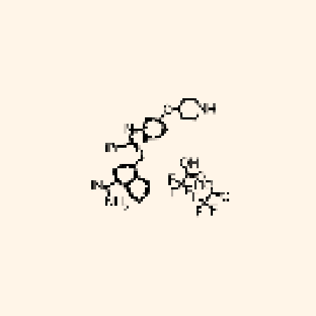 CC(C)c1nc2cc(OC3CCNCC3)ccc2n1Cc1ccc(C(=N)N)c2ccccc12.O=C(O)C(F)(F)F.O=C(O)C(F)(F)F